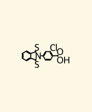 O=C(O)c1ccc(N2C(=S)c3ccccc3C2=S)cc1Cl